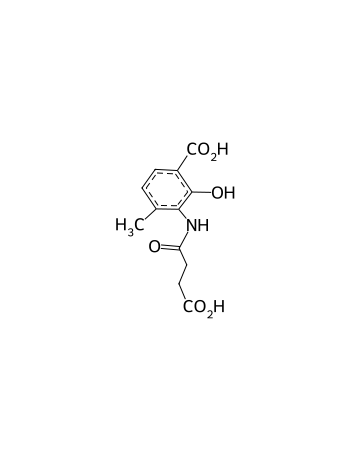 Cc1ccc(C(=O)O)c(O)c1NC(=O)CCC(=O)O